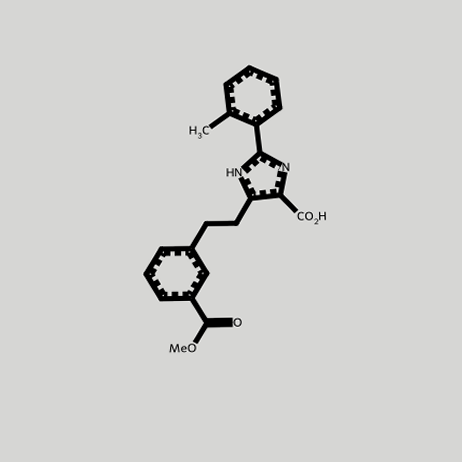 COC(=O)c1cccc(CCc2[nH]c(-c3ccccc3C)nc2C(=O)O)c1